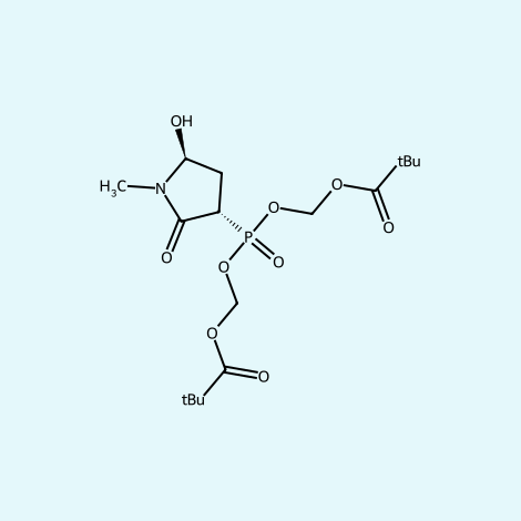 CN1C(=O)[C@@H](P(=O)(OCOC(=O)C(C)(C)C)OCOC(=O)C(C)(C)C)C[C@@H]1O